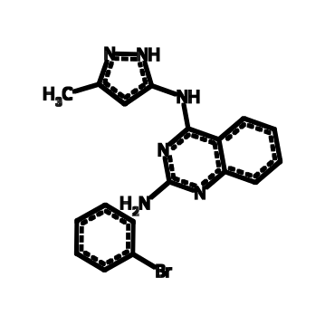 Brc1ccccc1.Cc1cc(Nc2nc(N)nc3ccccc23)[nH]n1